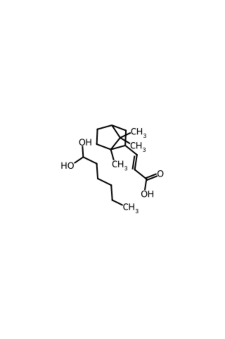 CC1(C)C2CCC1(C)C(C=CC(=O)O)C2.CCCCCC(O)O